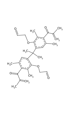 C=C(C)C(=O)c1c(C)cc(C(C)(C)c2cc(C)c(C(=O)C(=C)C)c(C)c2OCC=O)c(OCC=O)c1C